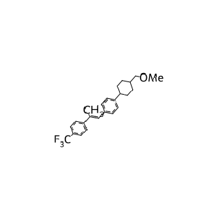 COCC1CCC(c2ccc(/C=C(\C)c3ccc(C(F)(F)F)cc3)cc2)CC1